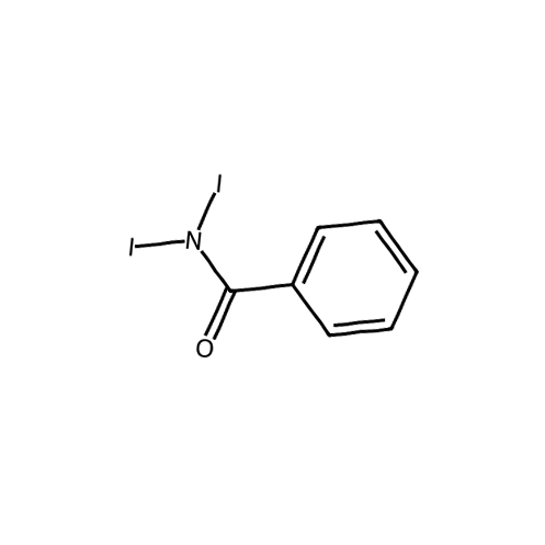 O=C(c1ccccc1)N(I)I